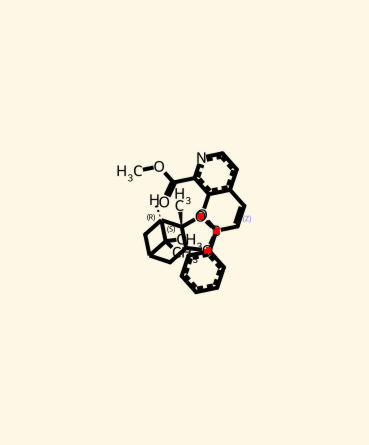 COC(=O)c1nccc(/C=C\B2OC3CC4C[C@H](C4(C)C)[C@]3(C)O2)c1OCc1ccccc1